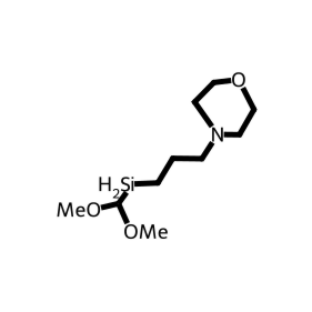 COC(OC)[SiH2]CCCN1CCOCC1